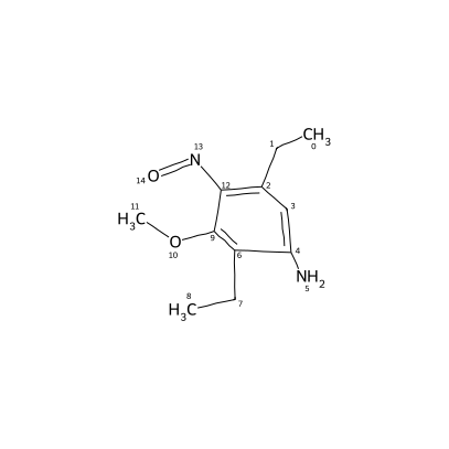 CCc1cc(N)c(CC)c(OC)c1N=O